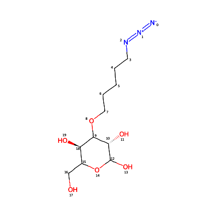 [N-]=[N+]=NCCCCCOC1[C@H](O)C(O)OC(CO)[C@H]1O